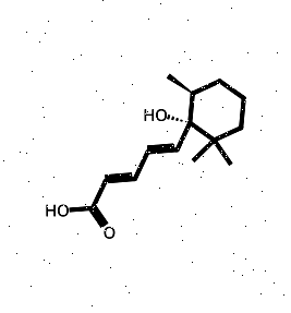 C[C@H]1CCCC(C)(C)[C@@]1(O)C=CC=CC(=O)O